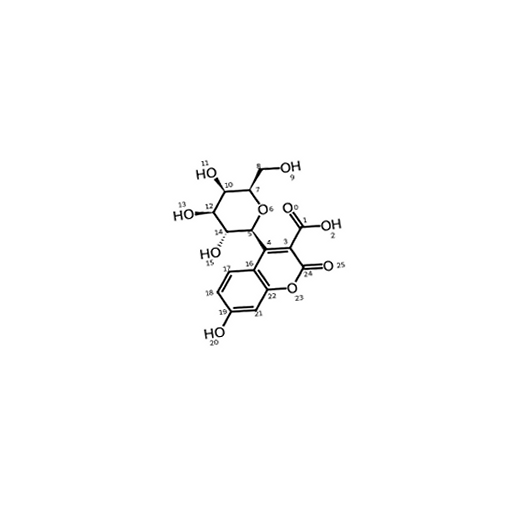 O=C(O)c1c([C@@H]2O[C@H](CO)[C@H](O)[C@H](O)[C@H]2O)c2ccc(O)cc2oc1=O